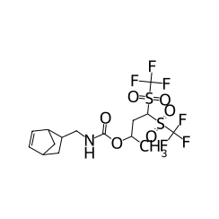 CC(CC(S(=O)(=O)C(F)(F)F)S(=O)(=O)C(F)(F)F)OC(=O)NCC1CC2C=CC1C2